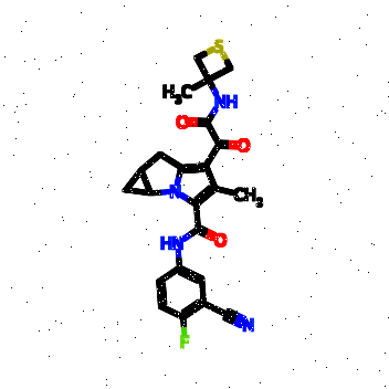 Cc1c(C(=O)C(=O)NC2(C)CSC2)c2n(c1C(=O)Nc1ccc(F)c(C#N)c1)C1CC1C2